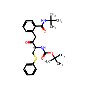 CC(C)(C)NC(=O)c1ccccc1CC(=O)[C@H](CSc1ccccc1)NC(=O)OC(C)(C)C